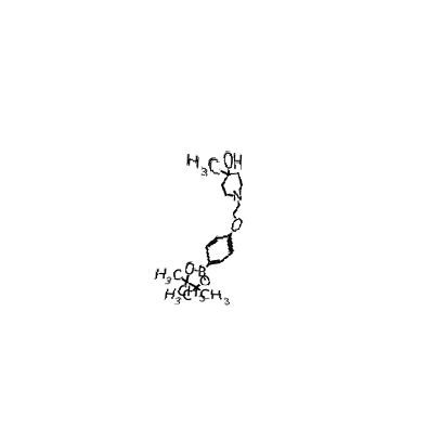 CC1(O)CCN(CCOc2ccc(B3OC(C)(C)C(C)(C)O3)cc2)CC1